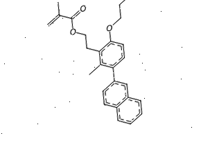 C=C(C)C(=O)OCCc1c(OCCO)ccc(-c2ccc3ccccc3c2)c1C